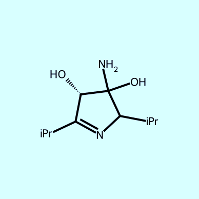 CC(C)C1=NC(C(C)C)C(N)(O)[C@H]1O